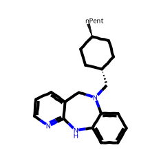 CCCCC[C@H]1CC[C@H](CN2Cc3cccnc3Nc3ccccc32)CC1